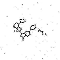 CCNCc1cc(-c2cc3c(-c4nc5c(-c6ccoc6)ccnc5[nH]4)n[nH]c3cn2)ccn1